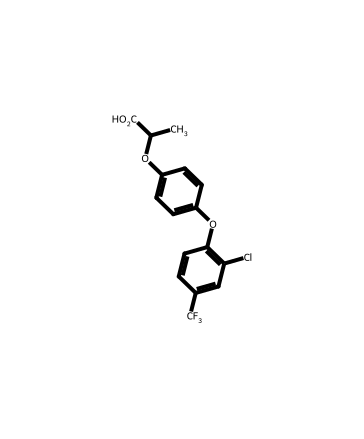 CC(Oc1ccc(Oc2ccc(C(F)(F)F)cc2Cl)cc1)C(=O)O